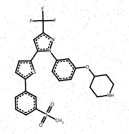 CS(=O)(=O)c1cccc(-c2ccc(-c3cc(C(F)(F)F)nn3-c3cccc(OC4CCNCC4)c3)s2)c1